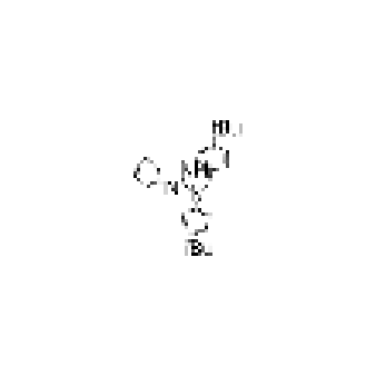 CCC(C)c1ccc(N(Cc2ccc(C(C)(C)C)cc2)C(=N)N(C)c2ccccc2)cc1